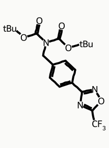 CC(C)(C)OC(=O)N(Cc1ccc(-c2noc(C(F)(F)F)n2)cc1)C(=O)OC(C)(C)C